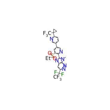 CCS(=O)(=O)c1cc(-c2ccc(C3(C(F)(F)F)CC3)nc2)cnc1-c1nc2cc(C(F)(F)C(F)(F)F)nnc2n1C